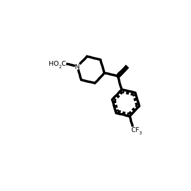 C=C(c1ccc(C(F)(F)F)cc1)C1CCN(C(=O)O)CC1